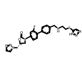 O=C1O[C@@H](Cn2ccnn2)CN1c1ccc(-c2ccc(CNCCSc3cnn[nH]3)cc2)c(F)c1